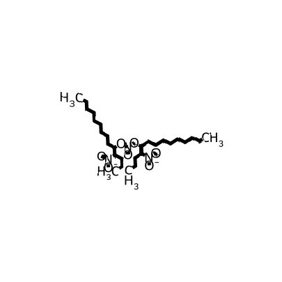 CCCCCCCCCC(O[N+](=O)OC(CCCCCCCCC)C(CCC)[N+](=O)[O-])C(CCC)[N+](=O)[O-]